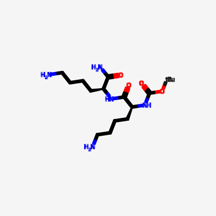 CC(C)(C)OC(=O)N[C@@H](CCCCN)C(=O)N[C@@H](CCCCN)C(N)=O